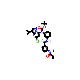 C=CC(=O)Nc1cccc(C(=O)Nc2cccc(N(C(=O)OC(C)(C)C)c3cc(Cl)nc4c(C(C)C)cnn34)c2)c1